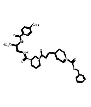 O=C(NC(CNC(=O)[C@@H]1CCCN(C(=O)CCC2CCN(C(=O)OCc3ccccc3)CC2)C1)C(=O)O)c1ccc(O)cc1